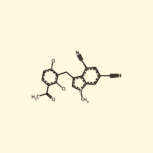 CC(=O)c1ccc(Cl)c(Cc2cn(C)c3cc(C#N)cc(C#N)c23)c1Cl